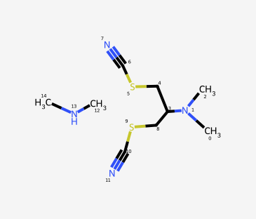 CN(C)C(CSC#N)CSC#N.CNC